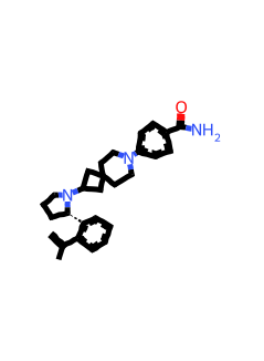 C=C(C)c1ccccc1[C@@H]1CCCN1C1CC2(CCN(c3ccc(C(N)=O)cc3)CC2)C1